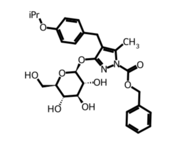 Cc1c(Cc2ccc(OC(C)C)cc2)c(O[C@@H]2O[C@H](CO)[C@@H](O)[C@H](O)[C@H]2O)nn1C(=O)OCc1ccccc1